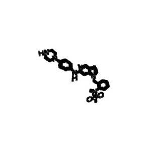 CN(c1ccccc1Cn1ccc2cnc(Nc3ccc(N4CCNCC4)cc3)cc21)S(C)(=O)=O